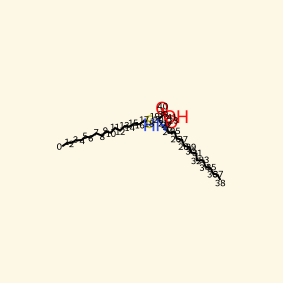 CCCCCCCCCCCCCCCCCCSC[C@@H](NC(=O)CCCCCCCCCCCCCCC)C(=O)O